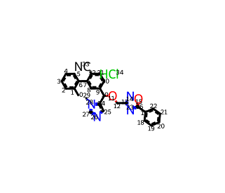 Cc1ccccc1-c1cc(C(OCc2noc(-c3ccccc3)n2)c2cncn2C)ccc1C#N.Cl